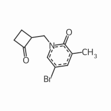 Cc1cc(Br)cn(CC2CCC2=O)c1=O